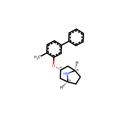 Cc1ccc(-c2ccccc2)cc1O[C@@H]1C[C@H]2CC[C@@H](C1)N2